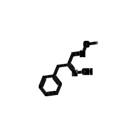 CON=CC(Cc1ccccc1)=NO